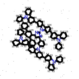 c1ccc(-c2ccc(-c3ccccc3)c(-c3cc(-c4cccc(-n5c6cc(-c7ccc8c(c7)c7ccccc7n8-c7ccccc7)ccc6c6ccc(-c7ccc8c(c7)c7ccccc7n8-c7ccccc7)cc65)c4)nc(-n4c5cc(-c6ccc7c(c6)c6ccccc6n7-c6ccccc6)ccc5c5ccc(-c6ccc7c(c6)c6ccccc6n7-c6ccccc6)cc54)n3)c2)cc1